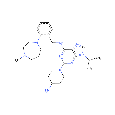 CC(C)n1cnc2c(NCc3ccccc3N3CCCN(C)CC3)nc(N3CCC(N)CC3)nc21